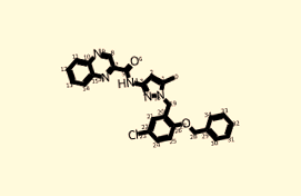 Cc1cc(NC(=O)c2cnc3ccccc3n2)nn1Cc1cc(Cl)ccc1OCc1ccccc1